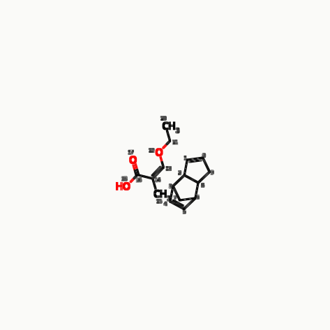 C1=CC2C3C=CC(C3)C2C1.CCOC=C(C)C(=O)O